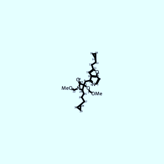 COCOC1(Cc2nccc3oc(CCC4CC4)cc23)C(=O)N(COC)C1CCCC1CC1